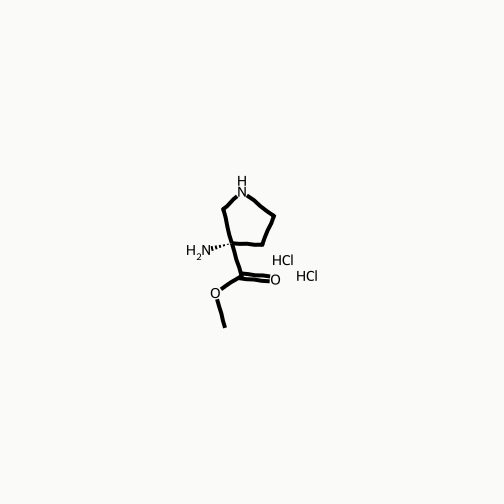 COC(=O)[C@]1(N)CCNC1.Cl.Cl